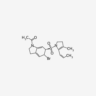 C/C=C\C1=C(C)CCN1S(=O)(=O)[C@@H]1C=C2C(=CC1Br)CCN2C(C)=O